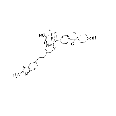 Nc1nc2ccc(C=Cc3cnc(Nc4ccc(S(=O)(=O)N5CCC(O)CC5)cc4)nc3)cc2s1.O=C(O)C(F)(F)F